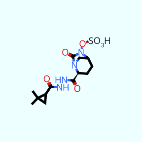 CC1(C)CC1C(=O)NNC(=O)[C@@H]1CCC2CN1C(=O)N2OS(=O)(=O)O